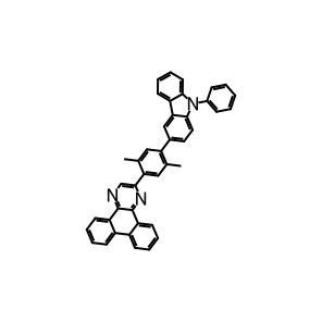 Cc1cc(-c2cnc3c4ccccc4c4ccccc4c3n2)c(C)cc1-c1ccc2c(c1)c1ccccc1n2-c1ccccc1